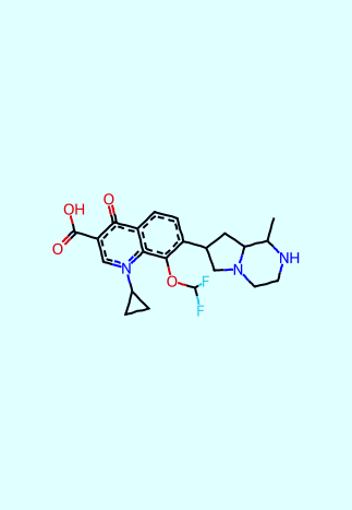 CC1NCCN2CC(c3ccc4c(=O)c(C(=O)O)cn(C5CC5)c4c3OC(F)F)CC12